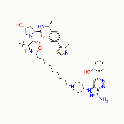 Cc1ncsc1-c1ccc([C@H](C)NC(=O)[C@@H]2C[C@@H](O)CN2C(=O)[C@@H](NC(=O)CCCCCCCCCN2CCC(n3nc(N)c4nnc(-c5ccccc5O)cc43)CC2)C(C)(C)C)cc1